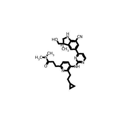 CN(C)C(=O)CCc1ccc(Nc2nccc(-c3cc(C#N)c4c(c3)[C@@](C)(CO)CN4)n2)c(CCC2CC2)n1